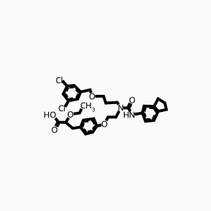 CCOC(Cc1ccc(OCCN(CCCOCc2cc(Cl)cc(Cl)c2)C(=O)Nc2ccc3c(c2)CCC3)cc1)C(=O)O